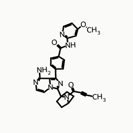 CC#CC(=O)N1C2CCC1(c1nc(-c3ccc(C(=O)Nc4cc(OC)ccn4)cc3)c3c(N)nccn13)CC2